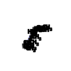 CC1=C(/C=C/C(C)=C/C=C/C(C)=C/C(=O)Nc2ccc(OC(=O)CC(C)O)cc2)C(C)(C)CCC1